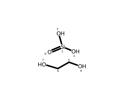 O=[Si](O)O.OCCO